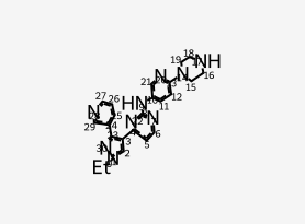 CCn1cc(-c2ccnc(Nc3ccc(N4CCNCC4)nc3)n2)c(-c2cccnc2)n1